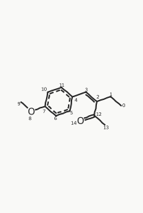 CCC(=Cc1ccc(OC)cc1)C(C)=O